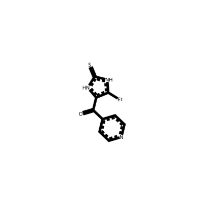 CCc1[nH]c(=S)[nH]c1C(=O)c1ccncc1